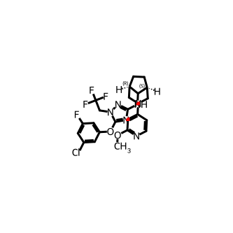 COc1cc(N2C[C@H]3CC[C@@H](C2)C3Nc2nc(Oc3cc(F)cc(Cl)c3)n(CC(F)(F)F)n2)ccn1